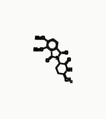 C=C1CCC(N2C(=O)c3ccc(OC)c(OC)c3C2=O)C(=O)N1